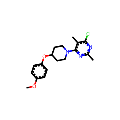 COc1ccc(OC2CCN(c3nc(C)nc(Cl)c3C)CC2)cc1